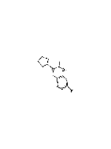 CC(O)N(Cc1ccc(F)cc1)C1CCCC1